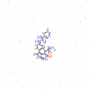 Cc1ccnc(NC(=O)Nc2ccc(-c3c(C)cn4ncnc(C(C)C(N)O)c34)cc2)c1